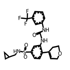 O=C(Nc1cccc(C(F)(F)F)c1)Nc1cc(S(=O)(=O)NCC2CC2)ccc1C1=CCOCC1